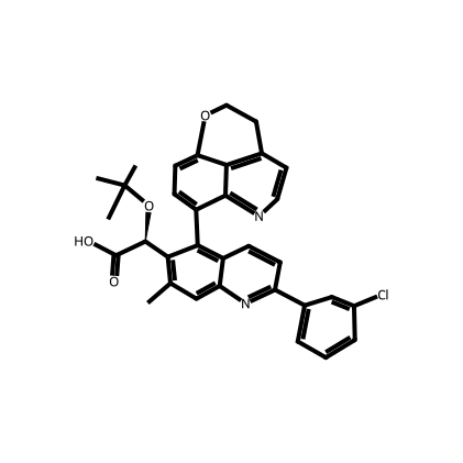 Cc1cc2nc(-c3cccc(Cl)c3)ccc2c(-c2ccc3c4c(ccnc24)CCO3)c1[C@H](OC(C)(C)C)C(=O)O